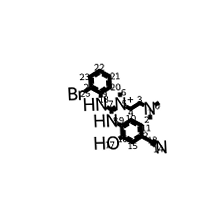 CN(C)CC[N+](C)=C(Nc1ccc(C#N)cc1O)Nc1ccccc1Br